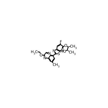 CCOc1cnc2c(-c3nc4cc(F)c(O[C@@H](C)[C@@H](C)O)nc4s3)cc(C)cc2n1